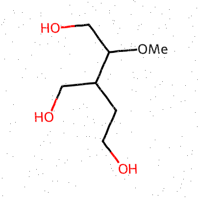 COC(CO)C(CO)CCO